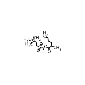 C=CCCC(C)C(=O)ONS(=O)(=O)CC[Si](C)(C)C